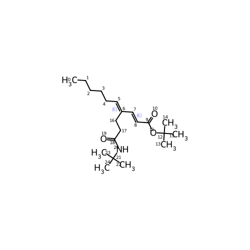 CCCCC/C=C(/C=C/C(=O)OC(C)(C)C)CCC(=O)NC(C)(C)C